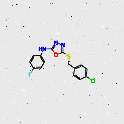 Fc1ccc(Nc2nnc(SCc3ccc(Cl)cc3)o2)cc1